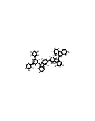 c1ccc(-c2cc(-n3c4ccccc4c4cc(-c5ccc6c(c5)c5ccccc5n6-c5cc6ccccc6c6ccccc56)ccc43)cc(-c3ccccc3)n2)cc1